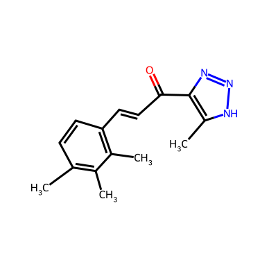 Cc1ccc(/C=C/C(=O)c2nn[nH]c2C)c(C)c1C